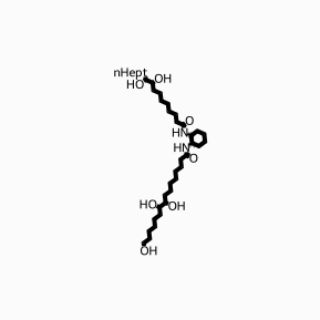 CCCCCCCC(O)C(O)CCCCCCCC(=O)N[C@H]1CCCC[C@H]1NC(=O)CCCCCCCC(O)C(O)CCCCCCO